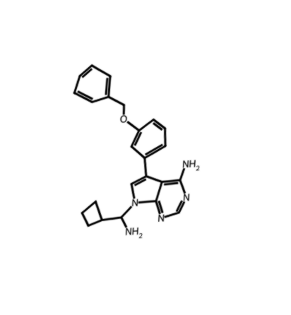 Nc1ncnc2c1c(-c1cccc(OCc3ccccc3)c1)cn2C(N)C1CCC1